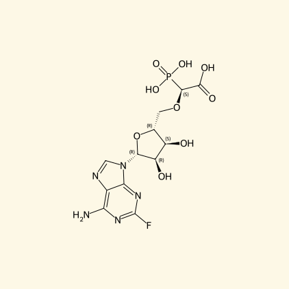 Nc1nc(F)nc2c1ncn2[C@@H]1O[C@H](CO[C@H](C(=O)O)P(=O)(O)O)[C@@H](O)[C@H]1O